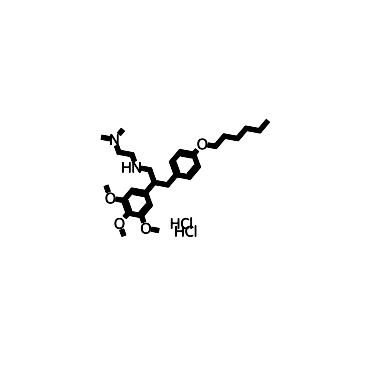 CCCCCCOc1ccc(CC(CNCCN(C)C)c2cc(OC)c(OC)c(OC)c2)cc1.Cl.Cl